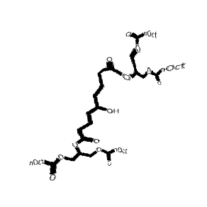 CCCCCCCCC(=O)OCC(COC(=O)CCCCCCCC)OC(=O)CCCC(O)CCCC(=O)OC(COC(=O)CCCCCCCC)COC(=O)CCCCCCCC